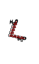 C=O.O.O.O.O.O.O.O=C1C=Cc2cccc3cccc1c23.O=C1C=Cc2cccc3cccc1c23.O=C1C=Cc2cccc3cccc1c23.O=C1C=Cc2cccc3cccc1c23.O=C1C=Cc2cccc3cccc1c23.O=C1C=Cc2cccc3cccc1c23.O=C1C=Cc2cccc3cccc1c23.O=C1C=Cc2cccc3cccc1c23